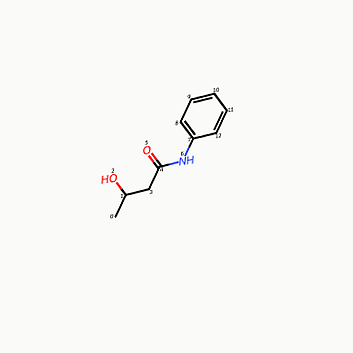 CC(O)CC(=O)Nc1ccccc1